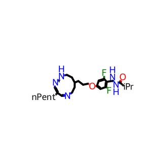 CCCCCC1=C/N=C/NCCC(CCCOc2cc(F)c(C(=N)NC(=O)C(C)C)c(F)c2)CC/N=C\1